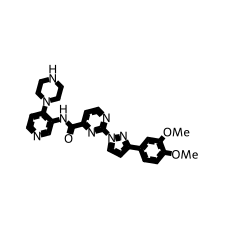 COc1ccc(-c2ccn(-c3nccc(C(=O)Nc4cnccc4N4CCNCC4)n3)n2)cc1OC